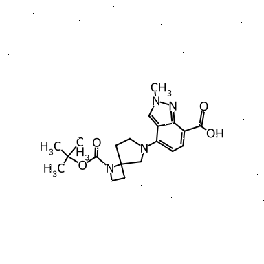 Cn1cc2c(N3CCC4(CCN4C(=O)OC(C)(C)C)C3)ccc(C(=O)O)c2n1